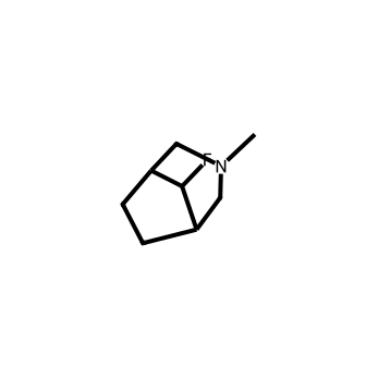 CN1CC2CCC(C1)C2F